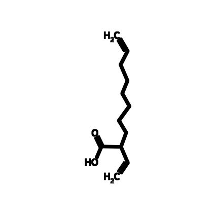 C=CCCCCCCC(C=C)C(=O)O